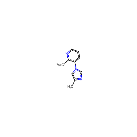 COc1n[c]ccc1-n1cnc(C)c1